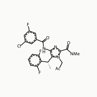 CNC(=O)c1nc(NC(=O)c2cc(F)cc(Cl)c2)c([C@H](C)c2c(F)cccc2F)n1CC(C)=O